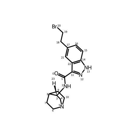 O=C(N[C@@H]1CN2CCC1CC2)c1n[nH]c2ccc(CCBr)cc12